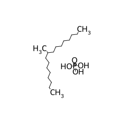 CCCCCCCCC(C)CCCCCCCC.O=P(O)(O)O